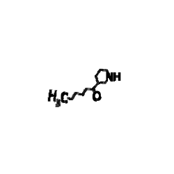 CCCCCC(=O)C1CCCNC1